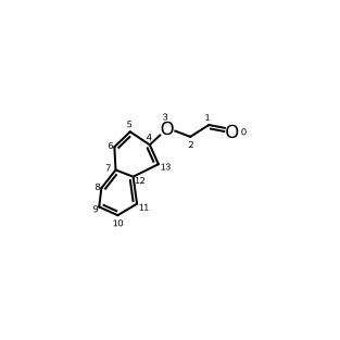 O=CCOc1ccc2ccccc2c1